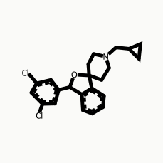 Clc1cc(Cl)cc(C2OC3(CCN(CC4CC4)CC3)c3ccccc32)c1